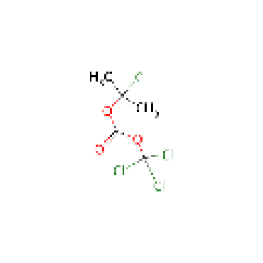 CC(C)(Cl)OC(=O)OC(Cl)(Cl)Cl